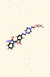 COCCN1CCN(CCc2ccc3c(c2)CO/C3=C2/C(=O)Nc3ccccc32)CC1